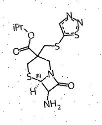 CC(C)OC(=O)C1(CSc2cnns2)CS[C@@H]2C(N)C(=O)N2C1